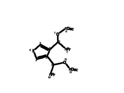 CCCCCCCCCCOC(CCC)c1cscc1C(CCC)OCCCCCCCCCC